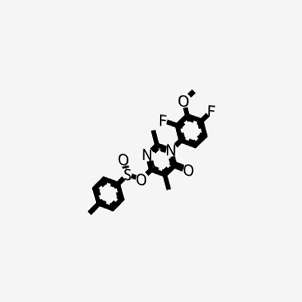 COc1c(F)ccc(-n2c(C)nc(OS(=O)c3ccc(C)cc3)c(C)c2=O)c1F